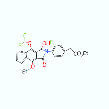 CCOC(=O)Cc1ccc(N2C(=O)c3c(c(OC(F)F)c4ccccc4c3OCC)C2O)c(F)c1